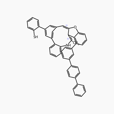 C/C1=c2\c(oc3cccc(-c4cccc(-c5ccc(-c6ccccc6)cc5)c4)c23)=C/c2cc(-c3ccccc3S)cc(c2)-c2ccccc2N1